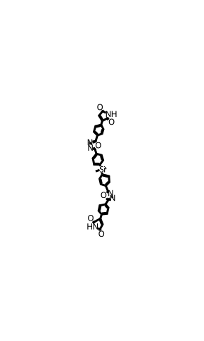 C[Si](C)(c1ccc(-c2nnc(-c3ccc(C4=CC(=O)NC4=O)cc3)o2)cc1)c1ccc(-c2nnc(-c3ccc(C4=CC(=O)NC4=O)cc3)o2)cc1